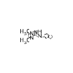 Cc1cc(C)n2cnc(CNCc3ccc4c(c3)CCC4)c2n1